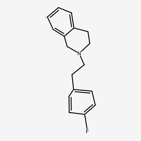 Fc1ccc(CCN2CCc3cc[c]cc3C2)cc1